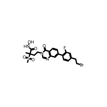 CC(CCn1cnc2cc(-c3ccc(CCBr)cc3F)ccc2c1=O)(C(=O)NO)S(C)(=O)=O